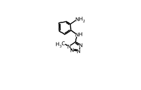 Cn1nnnc1Nc1ccccc1N